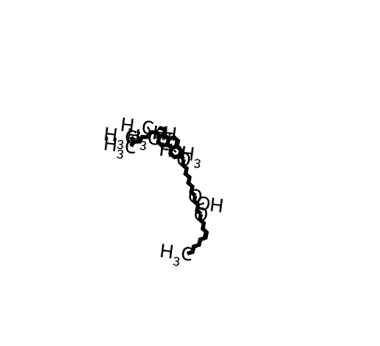 CCCCC/C=C\CCCOC[C@H](O)COCCCCCCCOC1CC[C@@]2(C)C(=CC[C@H]3[C@@H]4CC[C@H]([C@H](C)CCCC(C)C)[C@@]4(C)CC[C@@H]32)C1